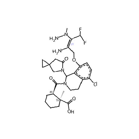 CN(N)/C(=C(\N)COc1ccc(Cl)c2c1C(N1CC3(CC3)CC1=O)N(C(=O)[C@@H]1CCCC[C@]1(C)C(=O)O)CC2)C(F)F